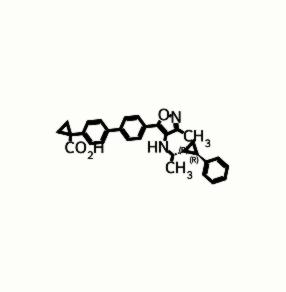 Cc1noc(-c2ccc(-c3ccc(C4(C(=O)O)CC4)cc3)cc2)c1NC(C)[C@@H]1C[C@H]1c1ccccc1